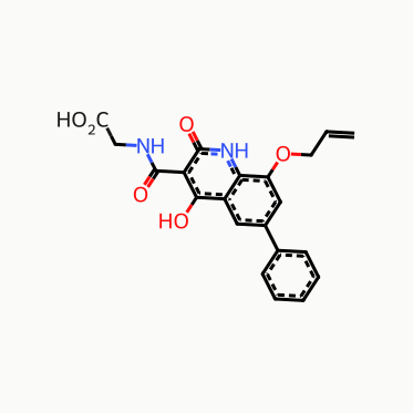 C=CCOc1cc(-c2ccccc2)cc2c(O)c(C(=O)NCC(=O)O)c(=O)[nH]c12